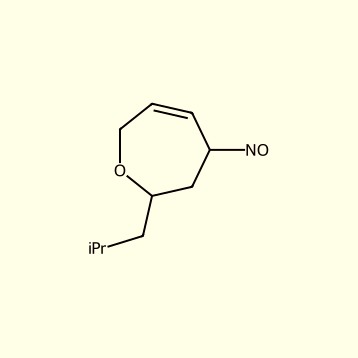 CC(C)CC1CC(N=O)C=CCO1